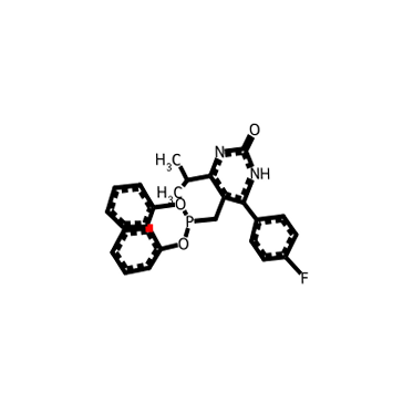 CC(C)c1nc(=O)[nH]c(-c2ccc(F)cc2)c1CP(Oc1ccccc1)Oc1ccccc1